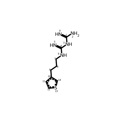 N=C(N)NC(=N)NCCCc1ccsc1